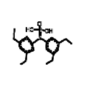 CCc1cc(CC)cc(S(c2cc(CC)cc(CC)c2)=P(O)(O)Cl)c1